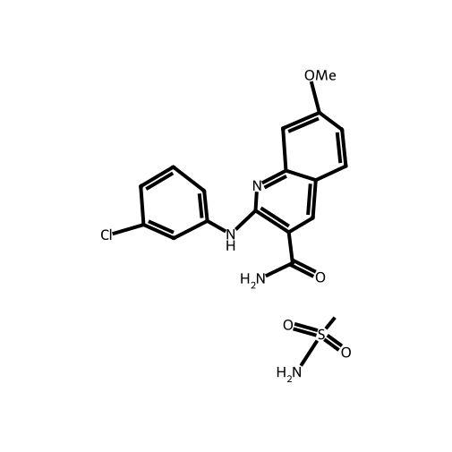 COc1ccc2cc(C(N)=O)c(Nc3cccc(Cl)c3)nc2c1.CS(N)(=O)=O